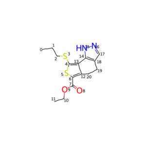 CCCSc1sc(C(=O)OCC)c2c1-c1[nH]ncc1CC2